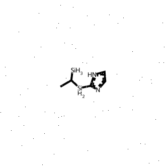 CC([SiH3])[SiH2]c1ncc[nH]1